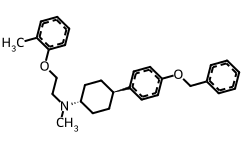 Cc1ccccc1OCCN(C)[C@H]1CC[C@H](c2ccc(OCc3ccccc3)cc2)CC1